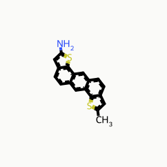 Cc1cc2ccc3cc4c(ccc5cc(N)sc54)cc3c2s1